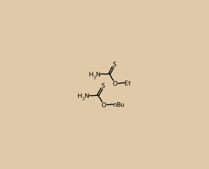 CCCCOC(N)=S.CCOC(N)=S